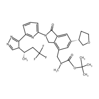 C[C@@H](CC(F)(F)F)n1cnnc1-c1cccc(N2Cc3c(CN(C)C(=O)OC(C)(C)C)cc([C@@H]4CCOC4)cc3C2=O)n1